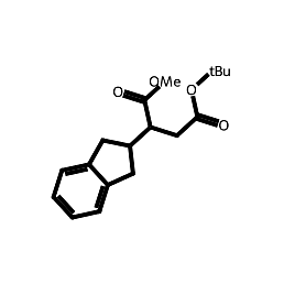 COC(=O)C(CC(=O)OC(C)(C)C)C1Cc2ccccc2C1